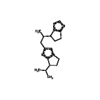 CC(C)C1CCn2cc(CC(C)C3CCc4nccn43)nc21